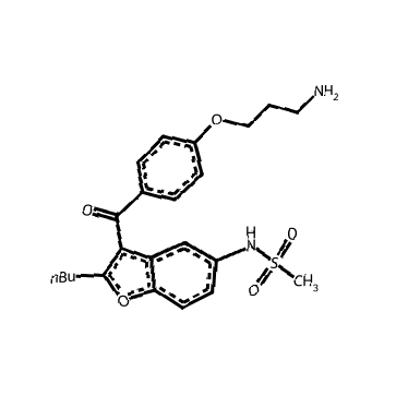 CCCCc1oc2ccc(NS(C)(=O)=O)cc2c1C(=O)c1ccc(OCCCN)cc1